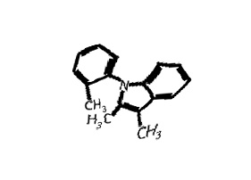 Cc1ccccc1-n1c(C)c(C)c2ccccc21